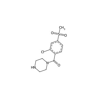 CS(=O)(=O)c1ccc(C(=O)N2CCNCC2)c(Cl)c1